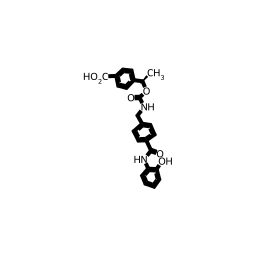 C[C@@H](OC(=O)NCc1ccc(C(=O)Nc2ccccc2O)cc1)c1ccc(C(=O)O)cc1